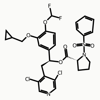 O=C(O[C@@H](Cc1c(Cl)cncc1Cl)c1ccc(OC(F)F)c(OCC2CC2)c1)[C@H]1CCCN1S(=O)(=O)c1ccccc1